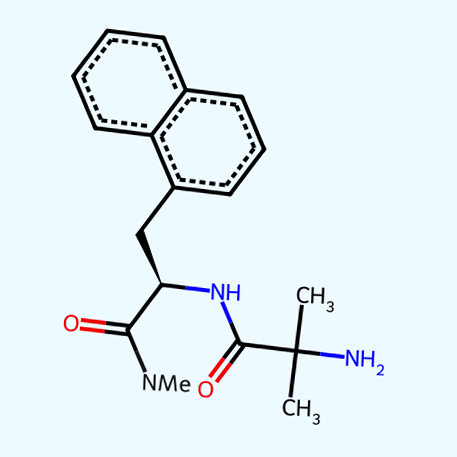 CNC(=O)[C@@H](Cc1cccc2ccccc12)NC(=O)C(C)(C)N